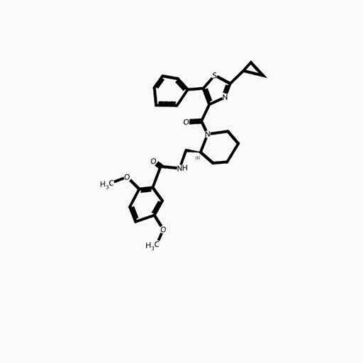 COc1ccc(OC)c(C(=O)NC[C@@H]2CCCCN2C(=O)c2nc(C3CC3)sc2-c2ccccc2)c1